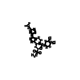 CS(=O)(=O)CCC1c2nnc(-c3nc(C4CC4)ns3)n2CCN1C(=O)c1ccc(Cl)c(Cl)c1